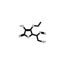 CCOC1=C(O)C(=O)OC1C(CO)N=O